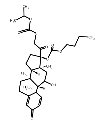 CCCCOC(=O)O[C@]1(C(=O)COC(=O)OC(C)C)CC[C@H]2[C@@H]3CCC4=CC(=O)C=C[C@]4(C)[C@H]3C(O)C[C@@]21C